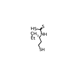 CCC.S=C(S)NCCCS